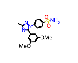 COc1cc(OC)cc(-c2nc(C)nn2-c2ccc(S(N)(=O)=O)cc2)c1